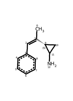 CC(=Cc1ccccc1)[C@@H]1CC1N